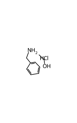 CCO.Cl.NCc1ccccc1